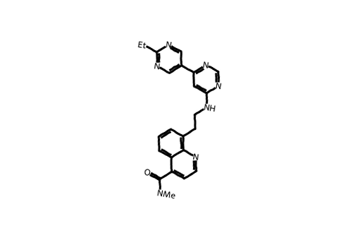 CCc1ncc(-c2cc(NCCc3cccc4c(C(=O)NC)ccnc34)ncn2)cn1